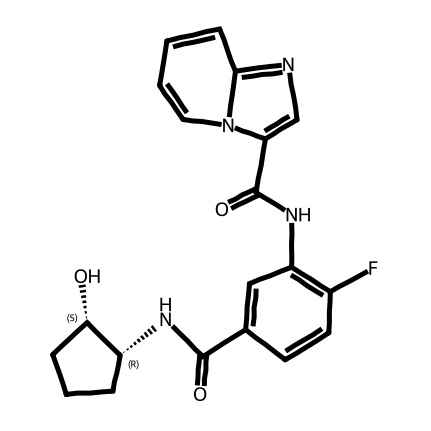 O=C(N[C@@H]1CCC[C@@H]1O)c1ccc(F)c(NC(=O)c2cnc3ccccn23)c1